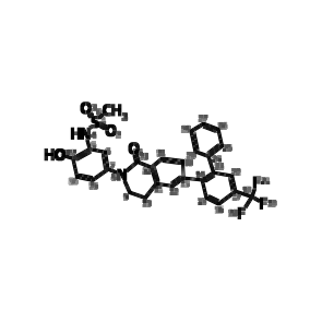 CS(=O)(=O)Nc1cc(N2CCc3cc(-c4ccc(C(F)(F)F)cc4-c4ccccc4)ccc3C2=O)ccc1O